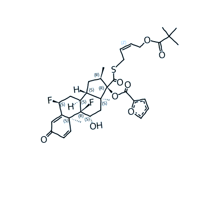 C[C@@H]1C[C@H]2[C@@H]3C[C@H](F)C4=CC(=O)C=C[C@]4(C)[C@@]3(F)[C@@H](O)C[C@]2(C)[C@@]1(OC(=O)c1ccco1)C(=O)SC/C=C\COC(=O)C(C)(C)C